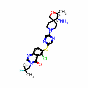 C[C@@H]1OCC2(CCN(c3cnc(Sc4ccc5ncn(CC(C)(C)F)c(=O)c5c4Cl)cn3)CC2)[C@@H]1N